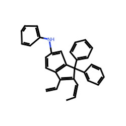 C=CC1=C(/C=C\C)C(c2ccccc2)(c2ccccc2)c2cc(Nc3ccccc3)ccc21